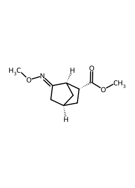 CO/N=C1\C[C@@H]2C[C@@H](C(=O)OC)[C@H]1C2